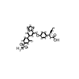 CC#CC(CC(=O)O)c1ccc(OCc2cc(-c3ccc(S(N)(=O)=O)cc3C)cn3ncnc23)cc1